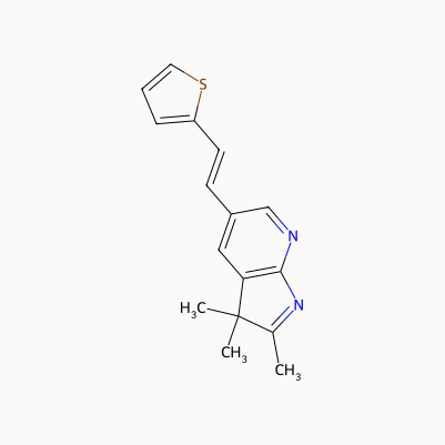 CC1=Nc2ncc(/C=C/c3cccs3)cc2C1(C)C